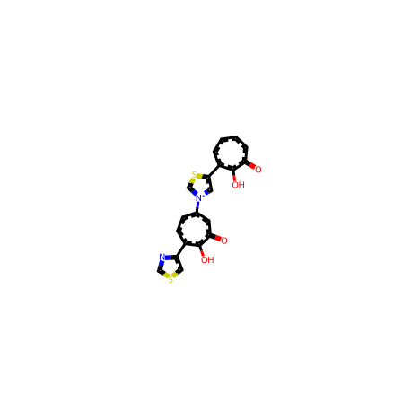 O=c1cc(-[n+]2csc(-c3ccccc(=O)c3O)c2)ccc(-c2cscn2)c1O